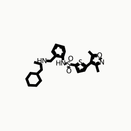 Cc1noc(C)c1-c1ccc(S(=O)(=O)Nc2ccccc2CNC(C)CC2CCCCC2)s1